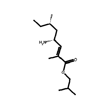 CC[C@H](C)C[C@@H](N)/C=C(\C)C(=O)OCC(C)C